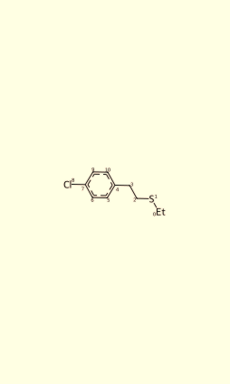 [CH2]CSCCc1ccc(Cl)cc1